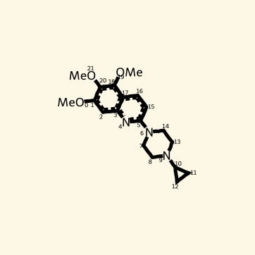 COc1cc2nc(N3CCN(C4CC4)CC3)ccc2c(OC)c1OC